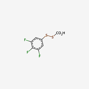 O=C(O)SSc1cc(F)c(F)c(F)c1